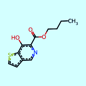 CCCCOC(=O)c1ncc2ccsc2c1O